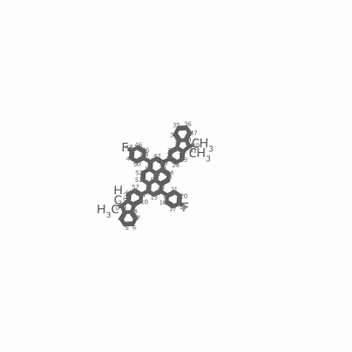 CC1(C)c2ccccc2-c2cc(-c3cc(-c4ccc(F)cc4)c4ccc5c(-c6ccc7c(c6)-c6ccccc6C7(C)C)cc(-c6ccc(F)cc6)c6ccc3c4c65)ccc21